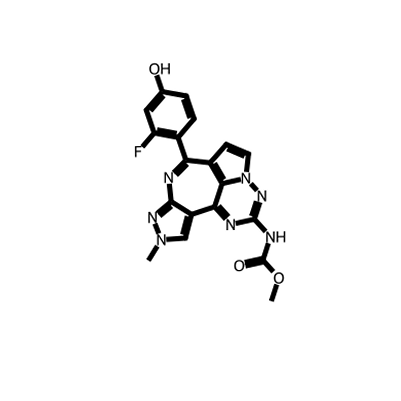 COC(=O)Nc1nc2c3c(ccn3n1)C(c1ccc(O)cc1F)=Nc1nn(C)cc1-2